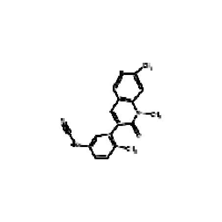 Cc1cc2c(cn1)cc(-c1cc(NC#N)ccc1C)c(=O)n2C